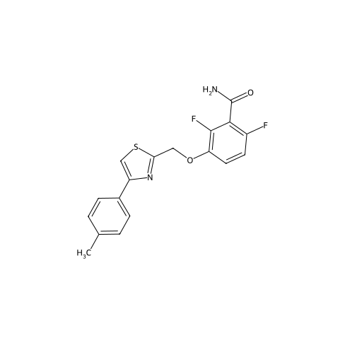 Cc1ccc(-c2csc(COc3ccc(F)c(C(N)=O)c3F)n2)cc1